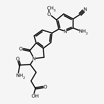 COc1cc(C#N)c(N)nc1-c1ccc2c(c1)CN(C(CCC(=O)O)C(N)=O)C2=O